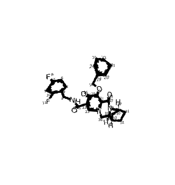 O=C(NCc1ccc(F)cc1F)c1cn2c(c(OCc3ccccc3)c1=O)C(=O)N1[C@H]3CC[C@H](C3)[C@@H]1C2